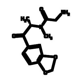 C[C@@H](C(=O)c1ccc2c(c1)OCO2)N(C)C(=O)CN